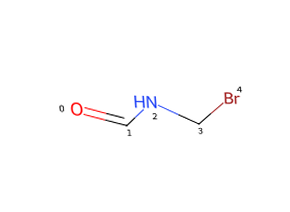 O=CNCBr